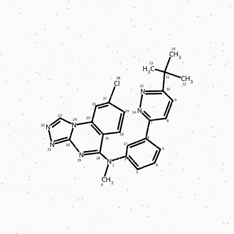 CN(c1cccc(-c2ccc(C(C)(C)C)nn2)c1)c1nc2nncn2c2cc(Cl)ccc12